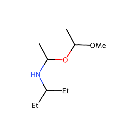 CCC(CC)NC(C)OC(C)OC